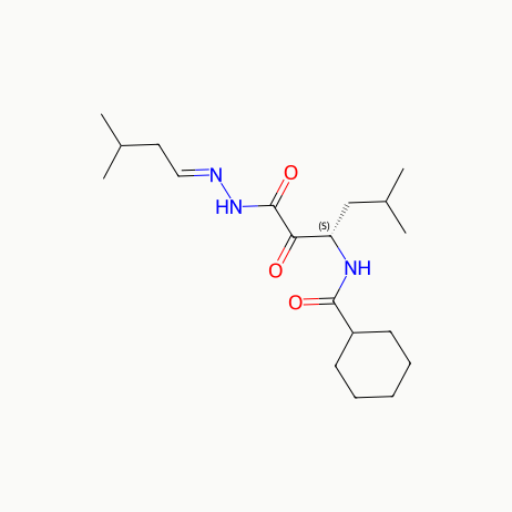 CC(C)CC=NNC(=O)C(=O)[C@H](CC(C)C)NC(=O)C1CCCCC1